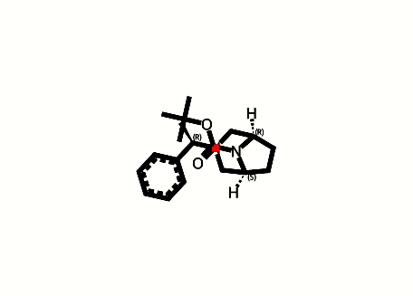 C[C@H](c1ccccc1)N1C[C@H]2CC[C@@H](C1)N2C(=O)OC(C)(C)C